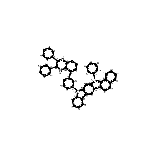 c1ccc(-c2nc3cccc(-c4cccc(-n5c6ccccc6c6cc7c8ccc9ccccc9c8n(-c8ccccc8)c7cc65)c4)c3nc2-c2ccccc2)cc1